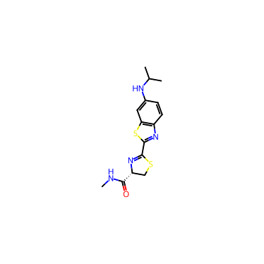 CNC(=O)[C@H]1CSC(c2nc3ccc(NC(C)C)cc3s2)=N1